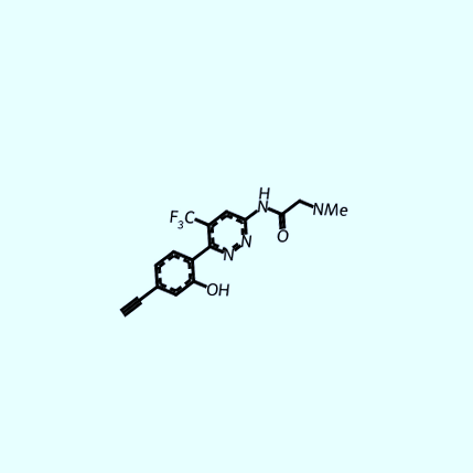 C#Cc1ccc(-c2nnc(NC(=O)CNC)cc2C(F)(F)F)c(O)c1